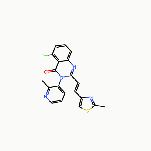 Cc1nc(C=Cc2nc3cccc(F)c3c(=O)n2-c2cccnc2C)cs1